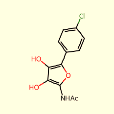 CC(=O)Nc1oc(-c2ccc(Cl)cc2)c(O)c1O